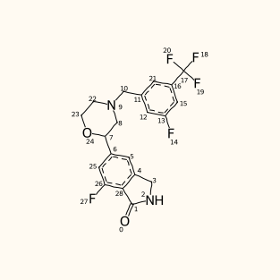 O=C1NCc2cc(C3CN(Cc4cc(F)cc(C(F)(F)F)c4)CCO3)cc(F)c21